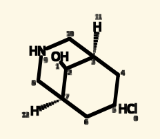 Cl.OC1[C@@H]2CCC[C@H]1CNC2